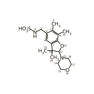 Cc1c(CNS(=O)(=O)O)cc2c(c1C)OC(N1CCOCC1)C2(C)C